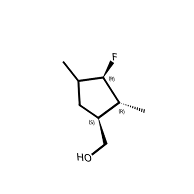 CC1C[C@H](CO)[C@@H](C)[C@@H]1F